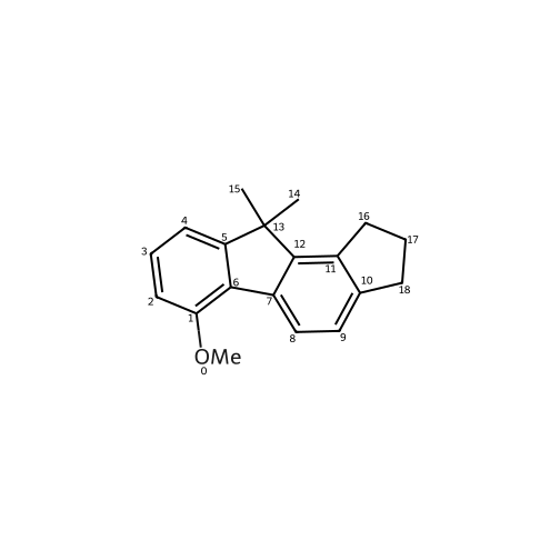 COc1cccc2c1-c1ccc3c(c1C2(C)C)CCC3